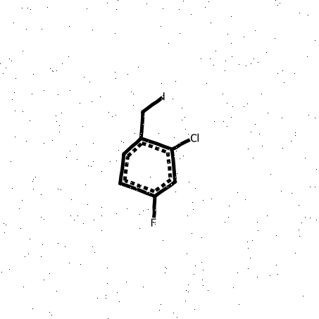 Fc1ccc(CI)c(Cl)c1